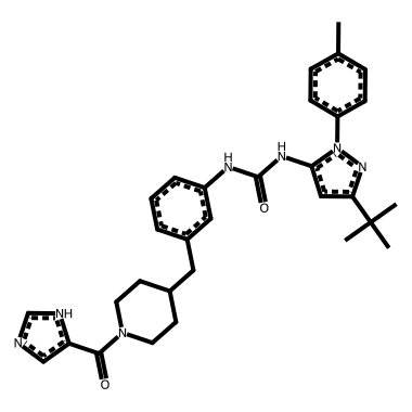 Cc1ccc(-n2nc(C(C)(C)C)cc2NC(=O)Nc2cccc(CC3CCN(C(=O)c4cnc[nH]4)CC3)c2)cc1